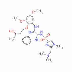 COc1cc(NC2=Nc3ccccc3NC2NS(=O)(=O)c2cn(C)c(CN(C)C)n2)c(OCCC(C)O)c(OC)c1